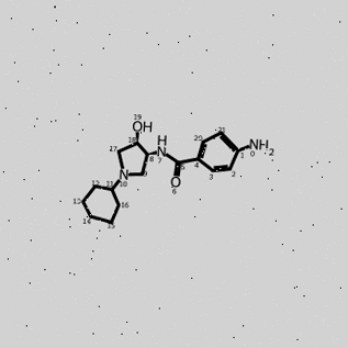 Nc1ccc(C(=O)N[C@H]2CN(C3CCCCC3)C[C@H]2O)cc1